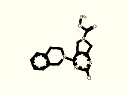 CC(C)(C)OC(=O)N1Cc2nc(Cl)nc(N3CCc4ccccc4C3)c2C1